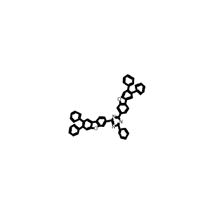 c1ccc(-c2nc(-c3ccc4c(c3)oc3cc(-c5ccccc5)c(-c5ccccc5)cc34)nc(-c3ccc4c(c3)oc3cc(-c5ccccc5)c(-c5ccccc5)cc34)n2)cc1